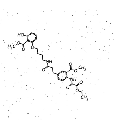 CCOC(=O)C(=O)Nc1ccc(CCC(=O)NCCCCOc2cccc(O)c2C(=O)OC)cc1C(=O)OC